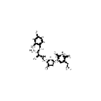 CCc1cn([C@@H]2CC(O)[C@H](CNC(=O)[C@H](C)Oc3ccc(Cl)cc3Cl)O2)c(=O)[nH]c1=O